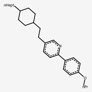 CCCCCCCC1CCC(CCc2ccc(-c3ccc(OCCC)cc3)nc2)CC1